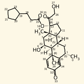 C[C@H]1C[C@@H]2[C@H]([C@@H](O)C[C@@]3(C)[C@H]2CC[C@]3(OC(=O)CCC2CCCC2)C(=O)CO)[C@@]2(C)C=CC(=O)C=C12